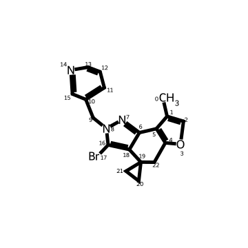 Cc1coc2c1-c1nn(Cc3cccnc3)c(Br)c1C1(CC1)C2